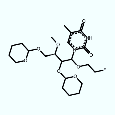 CO[C@H](COC1CCCCO1)C(OC1CCCCO1)C(OCCF)n1cc(C)c(=O)[nH]c1=O